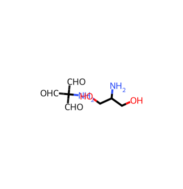 NC(C=O)(C=O)C=O.NC(CO)CO